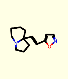 C(=CC12CCCCN1CCC2)c1ccno1